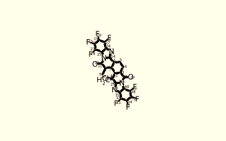 C=c1c2c(ccc3c2/c(=C\C)c(=O)n2c3nc3c(F)c(F)c(F)c(F)c32)c(=O)n2c1nc1c(F)c(F)c(F)c(F)c12